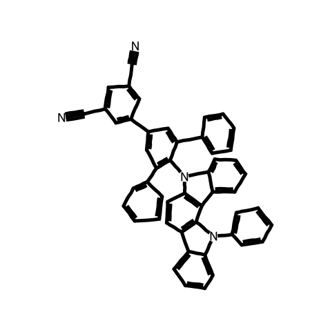 N#Cc1cc(C#N)cc(-c2cc(-c3ccccc3)c(-n3c4ccccc4c4c3ccc3c5ccccc5n(-c5ccccc5)c34)c(-c3ccccc3)c2)c1